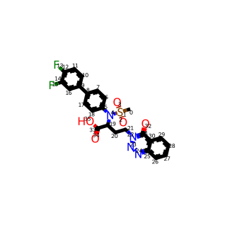 CS(=O)(=O)N(c1ccc(-c2ccc(F)c(F)c2)cc1)C(CCn1nnc2ccccc2c1=O)C(=O)O